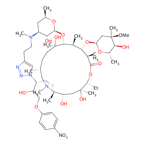 CC[C@H]1OC(=O)[C@H](C)[C@@H](O[C@H]2C[C@@](C)(OC)[C@@H](O)[C@H](C)O2)[C@H](C)[C@@H](O[C@@H]2O[C@H](C)C[C@H](N(C)CCc3cn([C@H](CF)C(O)COc4ccc([N+](=O)[O-])cc4)nn3)[C@H]2O)[C@](C)(O)CC[C@@H](C)CN(C)[C@H](C)[C@@H](O)C[C@]1(C)O